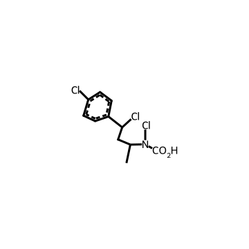 CC(CC(Cl)c1ccc(Cl)cc1)N(Cl)C(=O)O